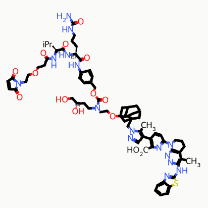 Cc1c(Nc2nc3ccccc3s2)nnc2c1CCCN2c1ccc(-c2cnn(CC34CC5CC(C3)CC(OCCN(CC[C@H](O)CO)C(=O)OCc3ccc(NC(=O)[C@H](CCCNC(N)=O)NC(=O)[C@@H](NC(=O)CCOCCN6C(=O)C=CC6=O)C(C)C)cc3)(C5)C4)c2C)c(C(=O)O)n1